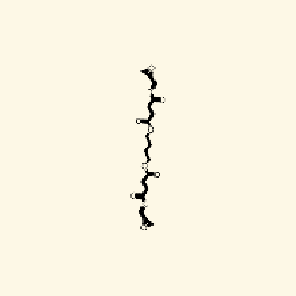 O=C(CCC(=O)OCC1CO1)OCCCCOC(=O)CCC(=O)OCC1CO1